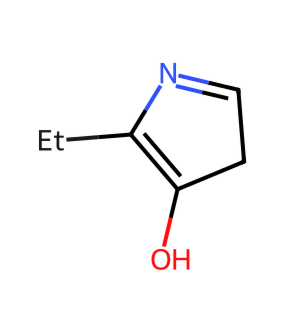 CCC1=C(O)CC=N1